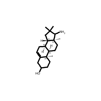 CC1(C)C[C@H]2[C@@H]3CC=C4CC(O)CC[C@]4(C)[C@@H]3CC[C@]2(C)C1N